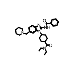 CCN(CC)C(=O)C1CCC(n2c(NC(=O)c3ccccc3)nc3ccc(CN4CCCCC4)cc32)CC1